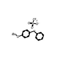 CCC(C)Oc1ccc([I+]c2ccccc2)cc1.O=S(=O)([O-])C(F)(F)F